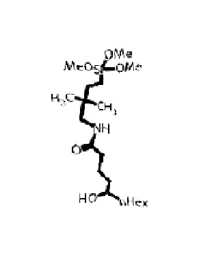 CCCCCCC(O)CCCC(=O)NCC(C)(C)CC[Si](OC)(OC)OC